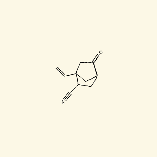 C=CC12CC(=O)C(CC1C#N)C2